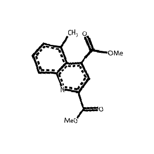 COC(=O)c1cc(C(=O)OC)c2c(C)cccc2n1